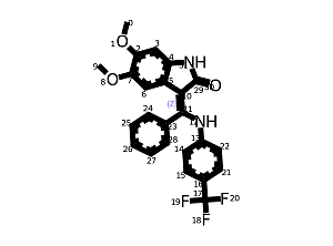 COc1cc2c(cc1OC)/C(=C(/Nc1ccc(C(F)(F)F)cc1)c1ccccc1)C(=O)N2